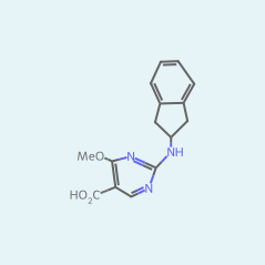 COc1nc(NC2Cc3ccccc3C2)ncc1C(=O)O